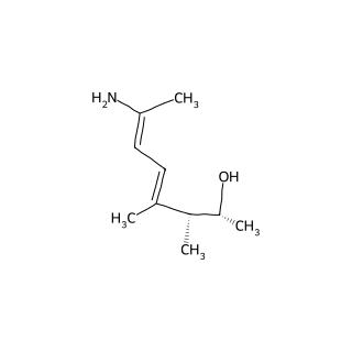 C/C(N)=C\C=C(/C)[C@@H](C)[C@@H](C)O